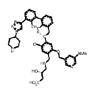 CNc1cncc(COc2cc(OCc3cccc(-c4cccc(-c5cn(C6CCNCC6)nn5)c4C)c3C)c(Cl)cc2CNC[C@@H](O)CC(=O)O)c1